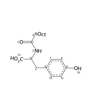 CCCCCCCCC(=O)NC(Cc1ccc(O)cc1)C(=O)O